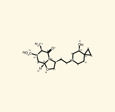 C[C@H]1C(=O)N2[C@@H](CCN3CCC4(CC4)[C@H](O)C3)CO[C@@H]2CN1C(=O)O